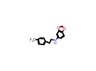 FC(F)(F)c1ccc(CCNc2ccc3c(c2)OCO3)cc1